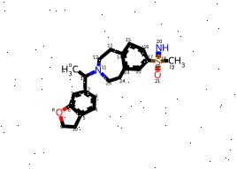 CC(c1ccc2c(c1)OCC2)N1CCc2ccc(S(C)(=N)=O)cc2CC1